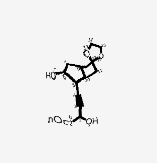 CCCCCCCCC(O)C#CC1C(O)CC2C1CC21OCCO1